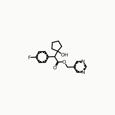 O=C(OCc1cncnc1)C(c1ccc(F)cc1)C1(O)CCCC1